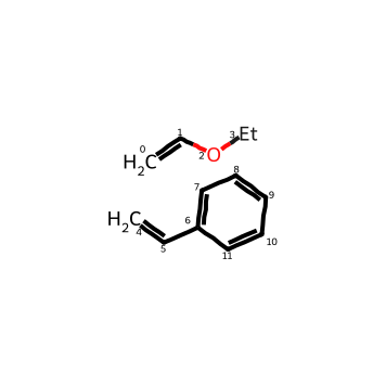 C=COCC.C=Cc1ccccc1